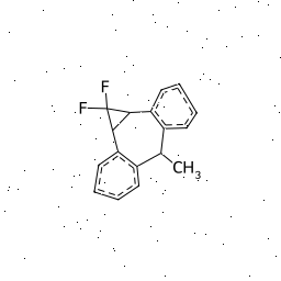 CC1c2ccccc2C2C(c3ccccc31)C2(F)F